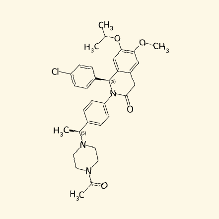 COc1cc2c(cc1OC(C)C)[C@H](c1ccc(Cl)cc1)N(c1ccc([C@H](C)N3CCN(C(C)=O)CC3)cc1)C(=O)C2